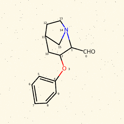 O=CC1C(Oc2ccccc2)CC2CCN1C2